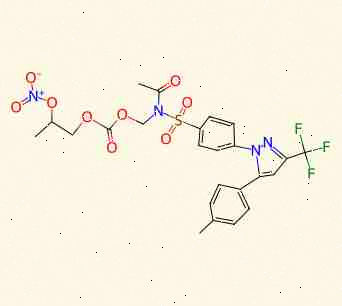 CC(=O)N(COC(=O)OCC(C)O[N+](=O)[O-])S(=O)(=O)c1ccc(-n2nc(C(F)(F)F)cc2-c2ccc(C)cc2)cc1